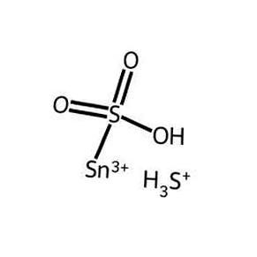 O=[S](=O)(O)[Sn+3].[SH3+]